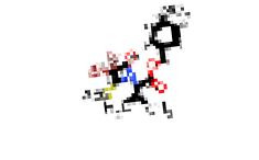 C=C(C)C(C(=O)OCc1ccc([N+](=O)[O-])cc1)N1C(=O)C(Br)(Br)C1SC(C)=O